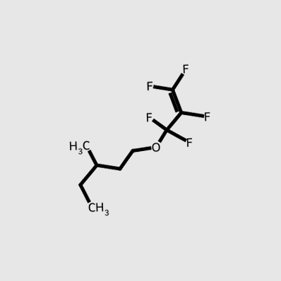 CCC(C)CCOC(F)(F)C(F)=C(F)F